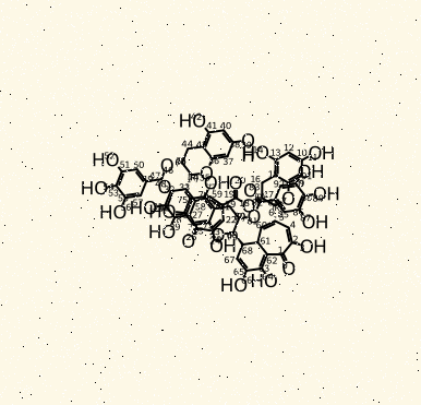 O=C1C(O)=CC([C@H]2Oc3cc(O)cc(O)c3C[C@H]2OC(=O)c2cc(O)c(=O)c3c(O)c(O)cc([C@H]4Oc5cc(O)cc(O)c5C[C@H]4OC(=O)c4cc(O)c(O)c(O)c4)c3c2)=CC2C1=C(O)C(O)=CC2[C@H]1Oc2cc(O)cc(O)c2C[C@H]1OC(=O)c1cc(O)c(O)c(O)c1